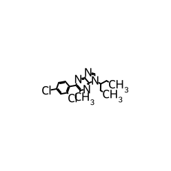 CCC(CC)n1cnc2nc(-c3ccc(Cl)cc3Cl)c(C)nc21